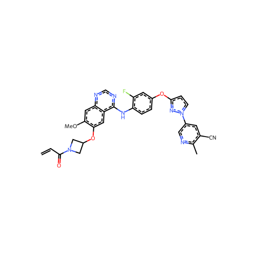 C=CC(=O)N1CC(Oc2cc3c(Nc4ccc(Oc5ccn(-c6cnc(C)c(C#N)c6)n5)cc4F)ncnc3cc2OC)C1